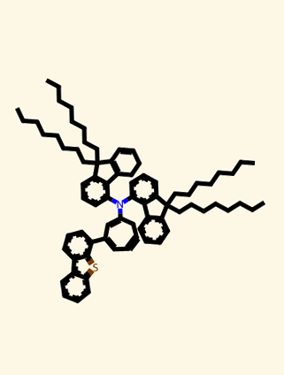 CCCCCCCCC1(CCCCCCCC)C2=C(CCC=C2)c2c(N(C3=CC(c4cccc5c4sc4ccccc45)=CC#CC3)c3cccc4c3-c3ccccc3C4(CCCCCCCC)CCCCCCCC)cccc21